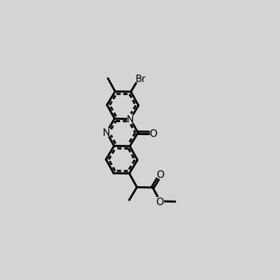 COC(=O)C(C)c1ccc2nc3cc(C)c(Br)cn3c(=O)c2c1